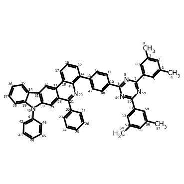 Cc1cc(C)cc(-c2nc(-c3ccc(-c4cccc5c4nc(-c4ccccc4)c4cc6c(cc45)c4ccccc4n6-c4ccccc4)cc3)nc(-c3cc(C)cc(C)c3)n2)c1